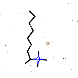 CCCCCCCC(C)[N+](C)(C)C.[Br-]